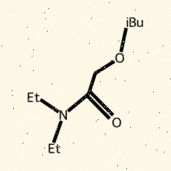 CCC(C)OCC(=O)N(CC)CC